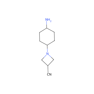 N#CC1CN(C2CCC(N)CC2)C1